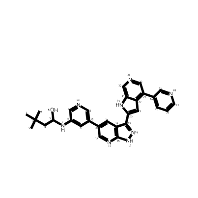 CC(C)(C)CC(O)Nc1cncc(-c2cnc3[nH]nc(-c4cc5c(-c6cccnc6)cncc5[nH]4)c3c2)c1